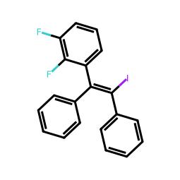 Fc1cccc(C(=C(I)c2ccccc2)c2ccccc2)c1F